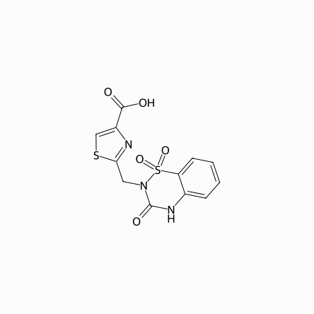 O=C(O)c1csc(CN2C(=O)Nc3ccccc3S2(=O)=O)n1